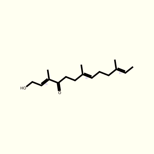 C/C=C(\C)CC/C=C(\C)CCC(=O)/C(C)=C/CO